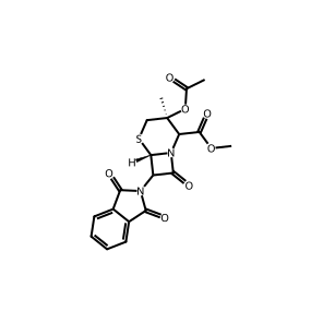 COC(=O)C1N2C(=O)C(N3C(=O)c4ccccc4C3=O)[C@@H]2SC[C@@]1(C)OC(C)=O